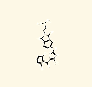 CN(C)CCN1C(=O)c2ccc(Nc3nc(N)c(C(=O)c4c(F)cccc4F)s3)cc2C1=O